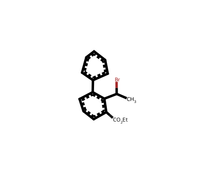 CCOC(=O)c1cccc(-c2ccccc2)c1C(C)Br